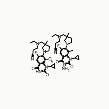 CCN(CCC#N)CC1(C)CCN(c2c(F)cc3c(=O)[nH]c(=O)n(C4CC4)c3c2OC)C1.CCN(CCC#N)CC1(C)CCN(c2c(F)cc3c(=O)n(N)c(=O)n(C4CC4)c3c2C)C1